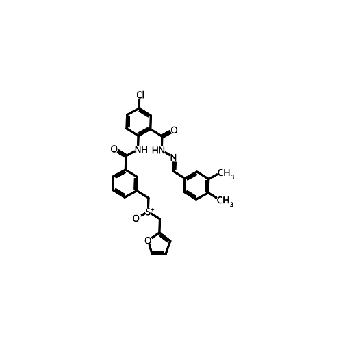 Cc1ccc(C=NNC(=O)c2cc(Cl)ccc2NC(=O)c2cccc(C[S+]([O-])Cc3ccco3)c2)cc1C